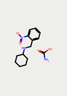 NC(=O)O.O=[N+]([O-])c1ccccc1CNC1CCCCC1